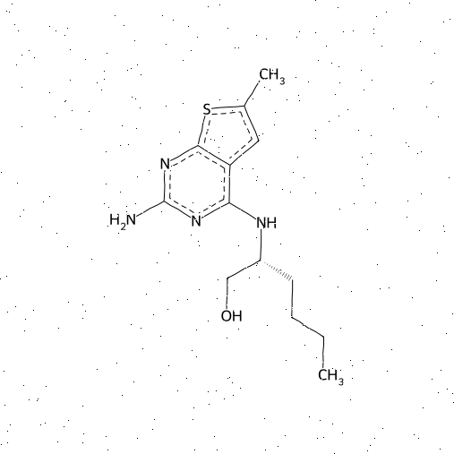 CCCC[C@H](CO)Nc1nc(N)nc2sc(C)cc12